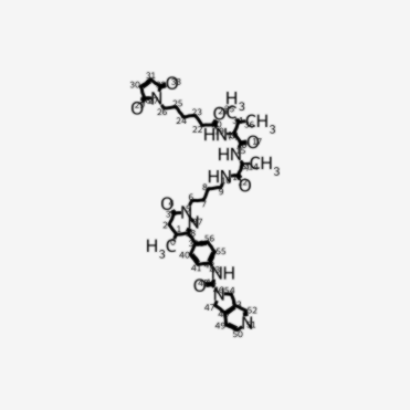 CC1CC(=O)N(CCCCNC(=O)[C@H](C)NC(=O)[C@@H](NC(=O)CCCCCN2C(=O)C=CC2=O)C(C)C)N=C1c1ccc(NC(=O)N2Cc3ccncc3C2)cc1